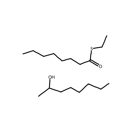 CCCCCCC(C)O.CCCCCCCC(=O)SCC